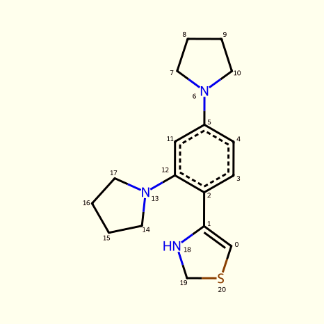 C1=C(c2ccc(N3CCCC3)cc2N2CCCC2)NCS1